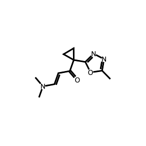 Cc1nnc(C2(C(=O)C=CN(C)C)CC2)o1